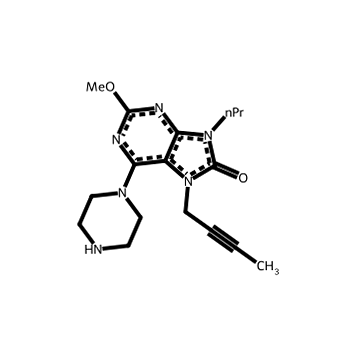 CC#CCn1c(=O)n(CCC)c2nc(OC)nc(N3CCNCC3)c21